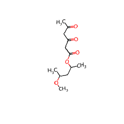 COC(C)CC(C)OC(=O)CC(=O)CC(C)=O